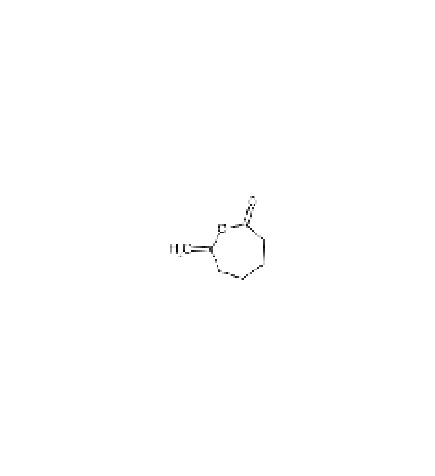 C=C1CCCCC(=O)O1